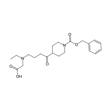 CCN(CCCC(=O)C1CCN(C(=O)OCc2ccccc2)CC1)CC(=O)O